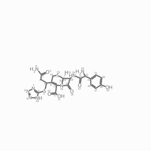 NC(=O)CC(Sc1nnn[nH]1)C1=C(C(=O)O)N2C(=O)C(NC(=O)C(N)c3ccc(O)cc3)[C@@H]2SC1